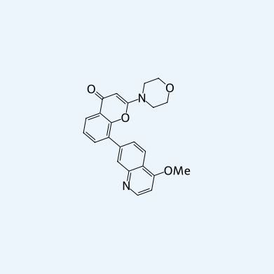 COc1ccnc2cc(-c3cccc4c(=O)cc(N5CCOCC5)oc34)ccc12